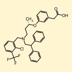 C[C@@H](CCN(Cc1cccc(C(F)(F)F)c1Cl)CC(c1ccccc1)c1ccccc1)Oc1cccc(CC(=O)O)c1